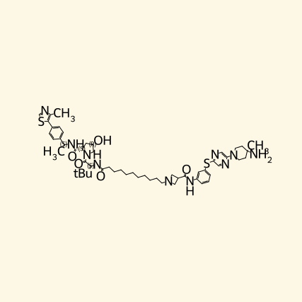 Cc1ncsc1-c1ccc([C@H](C)NC(=O)[C@@H]2C[C@@H](O)CN2C(=O)[C@@H](NC(=O)CCCCCCCCCCN2CC(C(=O)Nc3cccc(Sc4cnc(N5CCC(C)(N)CC5)cn4)c3)C2)C(C)(C)C)cc1